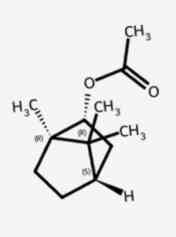 CC(=O)O[C@@H]1C[C@@H]2CC[C@]1(C)C2(C)C